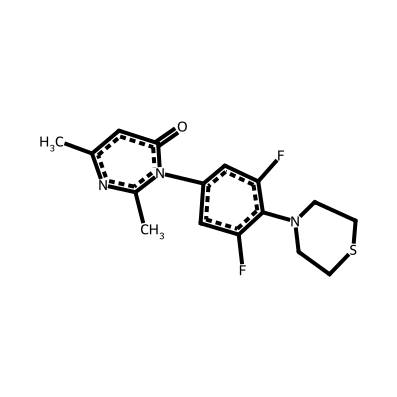 Cc1cc(=O)n(-c2cc(F)c(N3CCSCC3)c(F)c2)c(C)n1